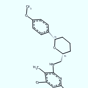 COc1nc(Cl)c(C)c(NC[C@H]2CCC[C@@H](c3ccc(OC(F)(F)F)cc3)O2)n1